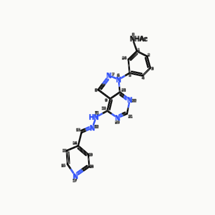 CC(=O)Nc1cccc(-n2ncc3c(N/N=C/c4ccncc4)ncnc32)c1